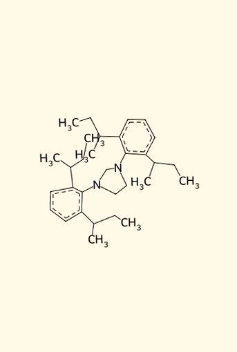 CCC(C)c1cccc(C(C)CC)c1N1CCN(c2c(C(C)CC)cccc2C(C)CC)C1